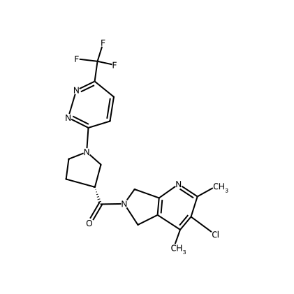 Cc1nc2c(c(C)c1Cl)CN(C(=O)[C@@H]1CCN(c3ccc(C(F)(F)F)nn3)C1)C2